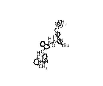 C[C@@H]1CCC[C@H](C)N1c1nnc2ccc(O[C@@H]3CC[C@H](NC(=O)Nc4cc(C(C)(C)C)nn4-c4ccn(CCOS(C)(=O)=O)n4)c4ccccc43)cn12